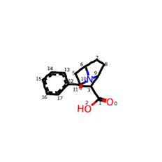 O=C(O)C1CCC2CCC1N2Cc1ccccc1